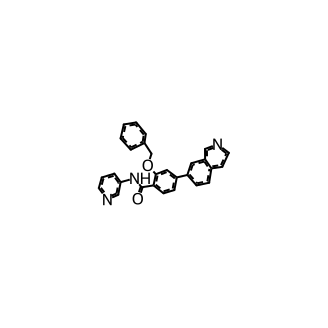 O=C(Nc1cccnc1)c1ccc(-c2ccc3ccncc3c2)cc1OCc1ccccc1